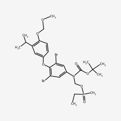 CCP(C)(=O)OCN(C(=O)OC(C)(C)C)c1cc(Br)c(Oc2ccc(OCOC)c(C(C)C)c2)c(Br)c1